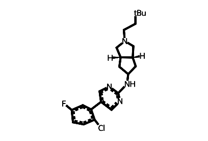 CC(C)(C)CCN1C[C@H]2CC(Nc3ncc(-c4cc(F)ccc4Cl)cn3)C[C@H]2C1